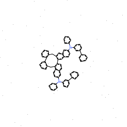 c1ccc(-c2cccc(N(c3ccccc3)c3ccc4cc5c(cc4c3)Cc3ccccc3-c3ccccc3Cc3c-5ccc4cc(N(c5ccccc5)c5cccc(-c6ccccc6)c5)ccc34)c2)cc1